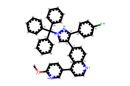 COc1ccc(-c2ccnc3ccc(-c4cn(C(c5ccccc5)(c5ccccc5)c5ccccc5)nc4-c4ccc(F)cc4)cc23)cn1